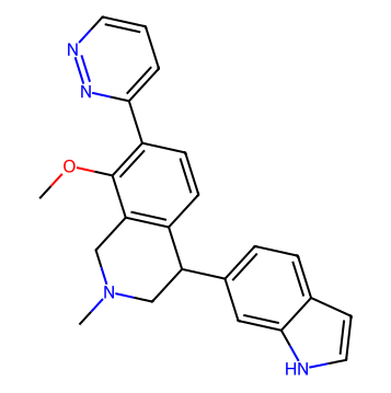 COc1c(-c2cccnn2)ccc2c1CN(C)CC2c1ccc2cc[nH]c2c1